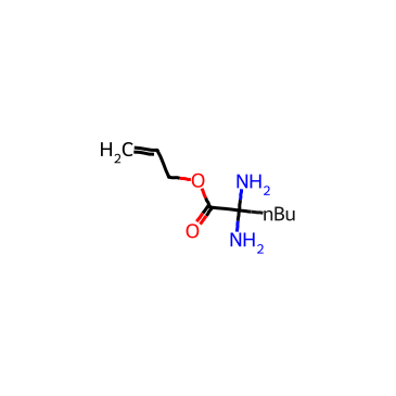 C=CCOC(=O)C(N)(N)CCCC